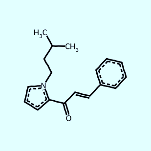 CC(C)CCn1cccc1C(=O)/C=C/c1ccccc1